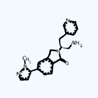 Cn1nccc1-c1ccc2c(c1)CN([C@H](CN)Cc1cccnc1)C2=O